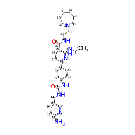 CCNc1nc(-c2ccc(NC(=O)NCc3ccc(N)nc3)cc2)ccc1C(=O)NCCN1CCCCCC1